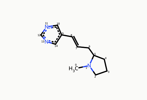 CN1CCCC1CC=Cc1cncnc1